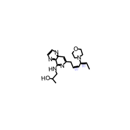 C/C=C(\C=C/Cc1cc2nccnc2c(NCC(C)O)n1)N1CCOCC1